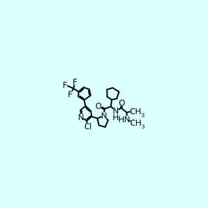 CNC(C)C(=O)NC(C(=O)N1CCCC1c1cc(-c2cccc(C(F)(F)F)c2)cnc1Cl)C1CCCCC1